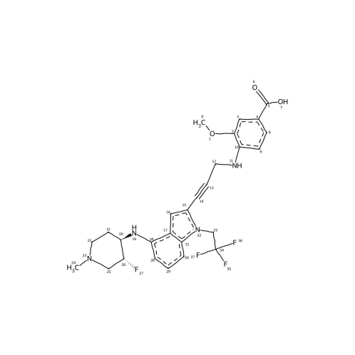 COc1cc(C(=O)O)ccc1NCC#Cc1cc2c(N[C@@H]3CCN(C)C[C@H]3F)cccc2n1CC(F)(F)F